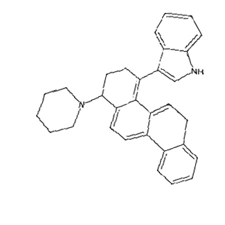 C1=c2c(ccc3c2=C(c2c[nH]c4ccccc24)CCC3N2CCCCC2)-c2ccccc2C1